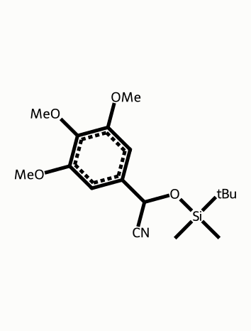 COc1cc(C(C#N)O[Si](C)(C)C(C)(C)C)cc(OC)c1OC